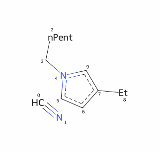 C#N.CCCCCCn1ccc(CC)c1